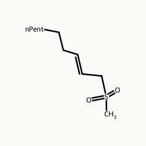 CCCCCCC/C=C/CS(C)(=O)=O